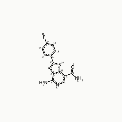 NC(=O)c1cnc(N)c2cc(-c3ccc(F)cc3)sc12